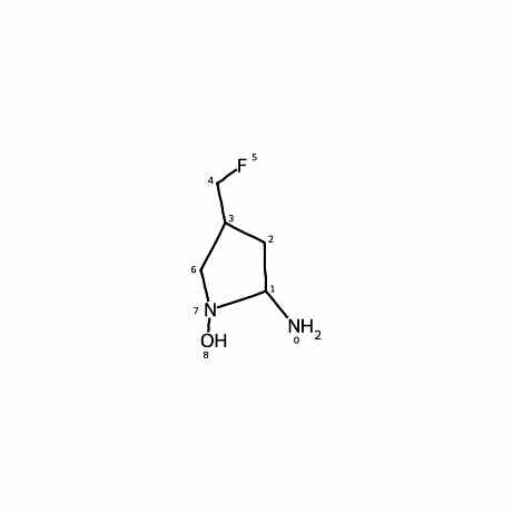 NC1CC(CF)CN1O